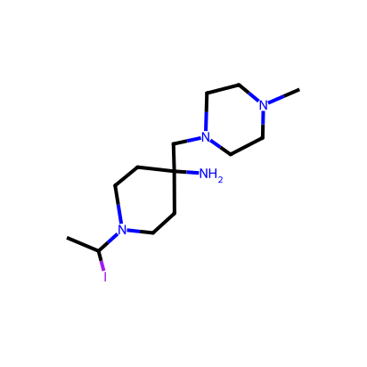 CC(I)N1CCC(N)(CN2CCN(C)CC2)CC1